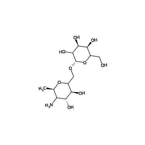 C[C@H]1OC(CO[C@H]2OC(CO)[C@H](O)[C@H](O)C2O)[C@@H](O)[C@H](O)C1N